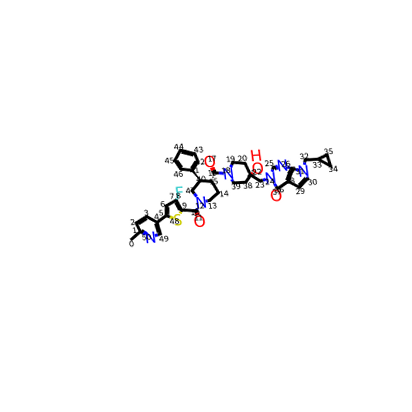 Cc1ccc(-c2cc(F)c(C(=O)N3CC[C@@H](C(=O)N4CCC(O)(Cn5cnc6c(ccn6CC6CC6)c5=O)CC4)[C@H](c4ccccc4)C3)s2)cn1